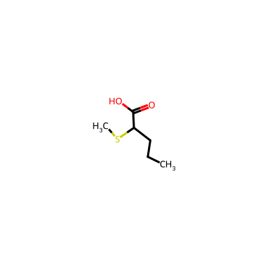 CCCC(SC)C(=O)O